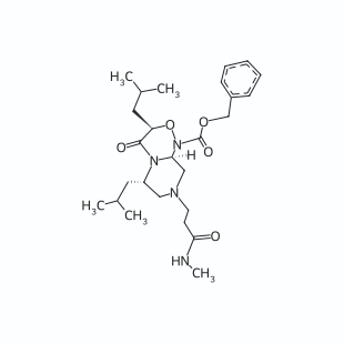 CNC(=O)CCN1C[C@H](CC(C)C)N2C(=O)[C@@H](CC(C)C)ON(C(=O)OCc3ccccc3)[C@H]2C1